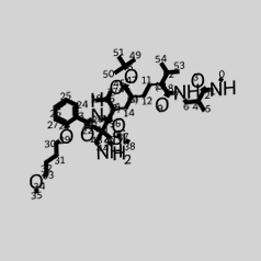 CNC(=O)C(C)CNC(=O)[C@@H](CC[C@@H](C[C@H](C(C)C)C(NC(=O)c1ccccc1OCCCCOC)(O[SiH](C)C)C(C)(C)CN)C(=O)OC(C)(C)C)C(C)C